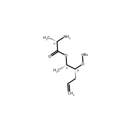 C=CC[C@@H](OCCCC)[C@H](C)OC(=O)[C@H](C)N